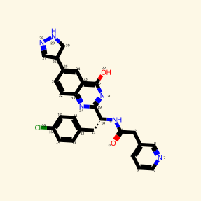 O=C(Cc1cccnc1)N[C@H](Cc1ccc(Cl)cc1)c1nc(O)c2cc(C3C=NNC3)ccc2n1